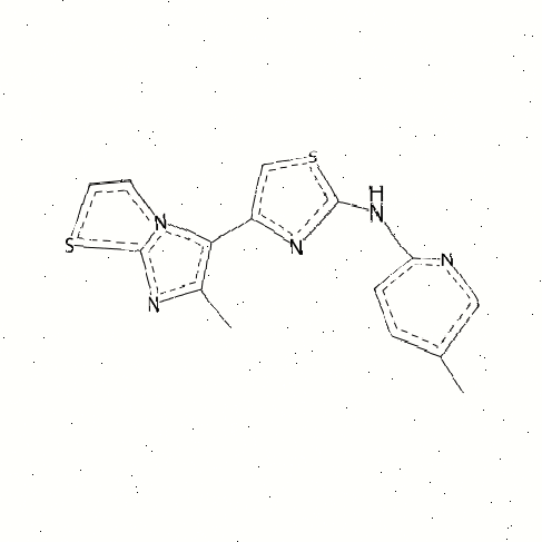 Cc1ccc(Nc2nc(-c3c(C)nc4sccn34)cs2)nc1